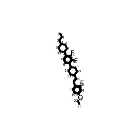 CCCC1CCC(c2ccc(C3CCC(/C=C/c4ccc(OCC)cc4F)CC3)c(F)c2F)CC1